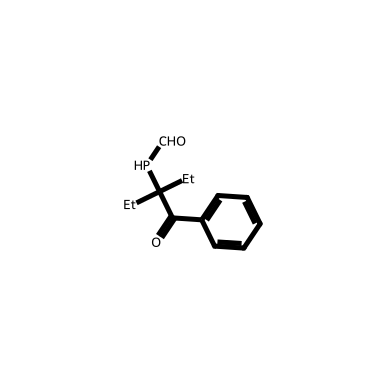 CCC(CC)(PC=O)C(=O)c1ccccc1